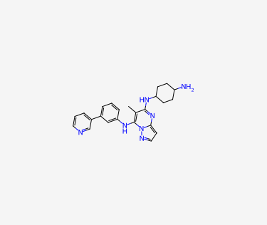 Cc1c(NC2CCC(N)CC2)nc2ccnn2c1Nc1cccc(-c2cccnc2)c1